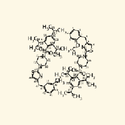 COc1ccccc1Cc1csc(N2CCN(S(=O)(=O)c3c(C(C)C)cc(C(C)C)cc3C(C)C)CC2)n1.Cc1cccc(Cc2csc(N3CCN(S(=O)(=O)c4c(C(C)C)cc(C(C)C)cc4C(C)C)CC3)n2)c1